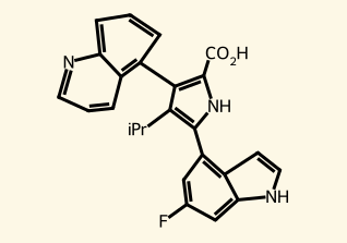 CC(C)c1c(-c2cc(F)cc3[nH]ccc23)[nH]c(C(=O)O)c1-c1cccc2ncccc12